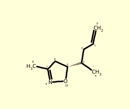 C=CCC(C)[C@H]1CC(C)=NO1